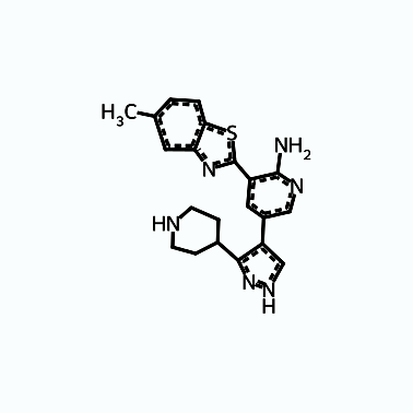 Cc1ccc2sc(-c3cc(-c4c[nH]nc4C4CCNCC4)cnc3N)nc2c1